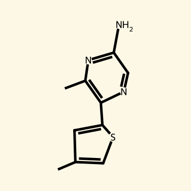 Cc1csc(-c2ncc(N)nc2C)c1